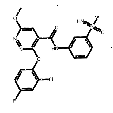 COc1cc(C(=O)Nc2cccc(S(C)(=N)=O)c2)c(Oc2ccc(F)cc2Cl)nn1